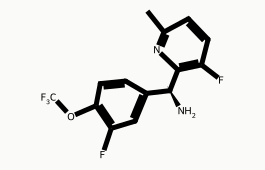 Cc1ccc(F)c([C@@H](N)c2ccc(OC(F)(F)F)c(F)c2)n1